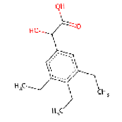 CCc1cc(C(O)C(=O)O)cc(CC)c1CC